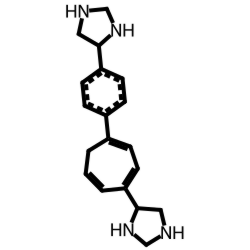 C1=CC(C2CNCN2)=CC=C(c2ccc(C3CNCN3)cc2)C1